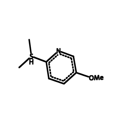 COc1ccc([SH](C)C)nc1